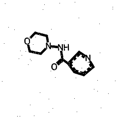 O=C(NN1CCOCC1)c1cccnc1